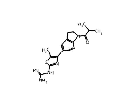 Cc1sc(NC(=N)N)nc1-c1ccc2c(c1)CCN2C(=O)C(C)C